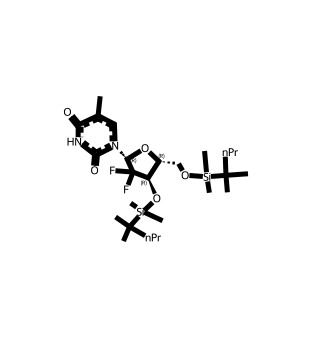 CCCC(C)(C)[Si](C)(C)OC[C@H]1O[C@@H](n2cc(C)c(=O)[nH]c2=O)C(F)(F)[C@@H]1O[Si](C)(C)C(C)(C)CCC